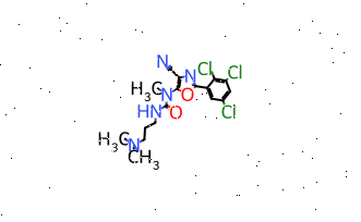 CN(C)CCCNC(=O)N(C)c1oc(-c2cc(Cl)cc(Cl)c2Cl)nc1C#N